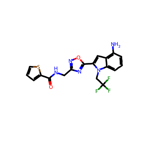 Nc1cccc2c1cc(-c1nc(CNC(=O)c3cccs3)no1)n2CC(F)(F)F